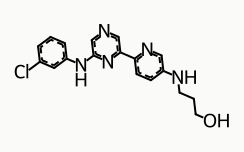 OCCCNc1ccc(-c2cncc(Nc3cccc(Cl)c3)n2)nc1